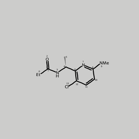 CCC(=O)N[C@H](C)c1nc(NC)ccc1Cl